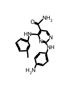 Cc1cccc(Nc2nc(Nc3ccc(N)cc3)ncc2C(N)=O)c1